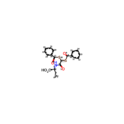 CC(C)C[C@H](NC(=O)C(SC(=O)c1ccccc1)SC(=O)c1ccccc1)C(=O)O